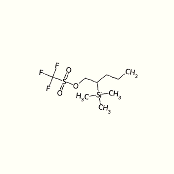 CCCC(COS(=O)(=O)C(F)(F)F)[Si](C)(C)C